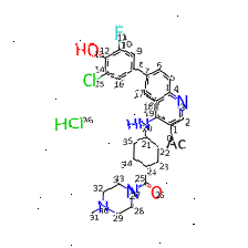 CC(=O)c1cnc2ccc(-c3cc(F)c(O)c(Cl)c3)cc2c1NC1CCC(C(=O)N2CCN(C)CC2)CC1.Cl